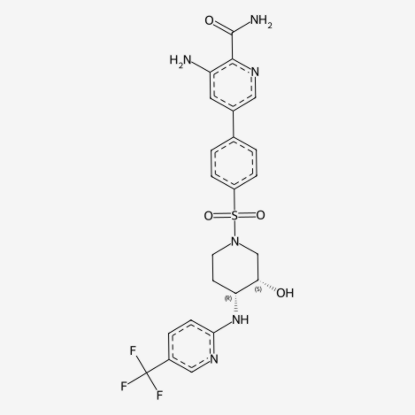 NC(=O)c1ncc(-c2ccc(S(=O)(=O)N3CC[C@@H](Nc4ccc(C(F)(F)F)cn4)[C@@H](O)C3)cc2)cc1N